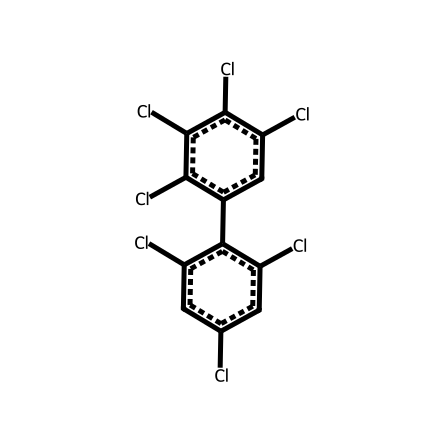 Clc1cc(Cl)c(-c2cc(Cl)c(Cl)c(Cl)c2Cl)c(Cl)c1